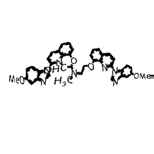 COc1ccc2c(c1)ncn2-c1ccc2cccc(OCCN(C)C(C=O)Oc3cccc4ccc(-n5cnc6cc(OC)ccc65)nc34)c2n1